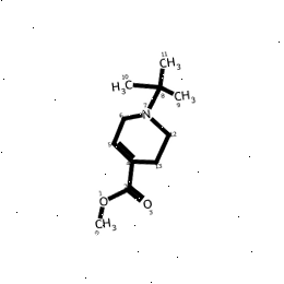 COC(=O)C1=CCN(C(C)(C)C)CC1